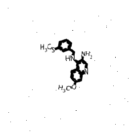 COc1ccc2c(NCc3cccc(SC)c3)c(N)cnc2c1